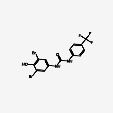 O=C(Nc1ccc(C(F)(F)F)cc1)Nc1cc(Br)c(O)c(Br)c1